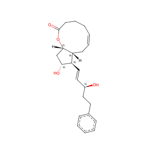 O=C1CCCC=CC[C@@H]2[C@@H](C=C[C@@H](O)CCc3ccccc3)[C@H](O)C[C@@H]2O1